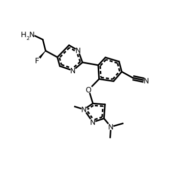 CN(C)c1cc(Oc2cc(C#N)ccc2-c2ncc([C@@H](F)CN)cn2)n(C)n1